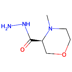 CN1CCOC[C@H]1C(=O)NN